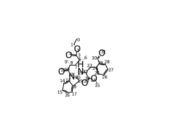 CCOC(=O)[C@H](C)C[C@@H](C)C(=O)N1c2ccccc2C[C@H]1N[C@@H](Cc1ccccc1C=O)C(=O)OC